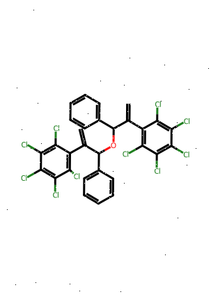 C=C(c1c(Cl)c(Cl)c(Cl)c(Cl)c1Cl)C(OC(C(=C)c1c(Cl)c(Cl)c(Cl)c(Cl)c1Cl)c1ccccc1)c1ccccc1